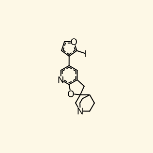 Ic1occc1-c1cnc2c(c1)CC1(CN3CCC1CC3)O2